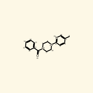 Cc1ccc(N2CCN(C(=O)c3ccccc3)CC2)nc1